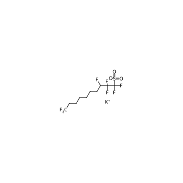 O=S(=O)([O-])C(F)(F)C(F)(F)C(F)CCCCCCC(F)(F)F.[K+]